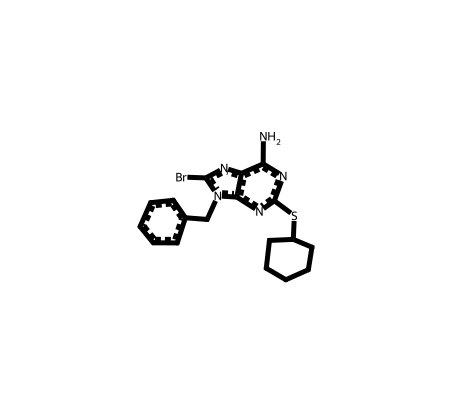 Nc1nc(SC2CCCCC2)nc2c1nc(Br)n2Cc1ccccc1